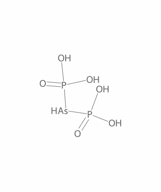 O=P(O)(O)[AsH]P(=O)(O)O